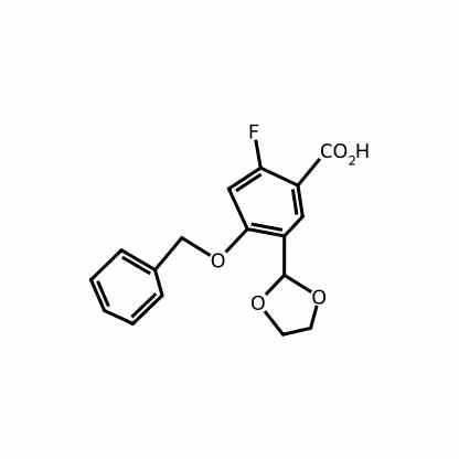 O=C(O)c1cc(C2OCCO2)c(OCc2ccccc2)cc1F